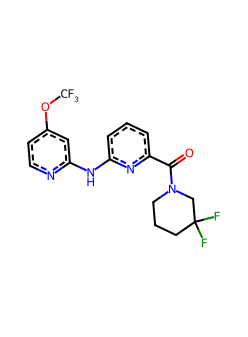 O=C(c1cccc(Nc2cc(OC(F)(F)F)ccn2)n1)N1CCCC(F)(F)C1